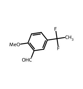 COc1ccc(C(C)(F)F)cc1C=O